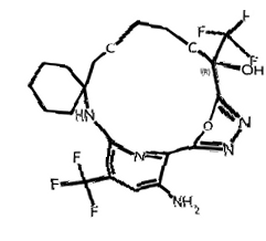 Nc1cc(C(F)(F)F)c2nc1-c1nnc(o1)[C@@](O)(C(F)(F)F)CCCCCC1(CCCCC1)N2